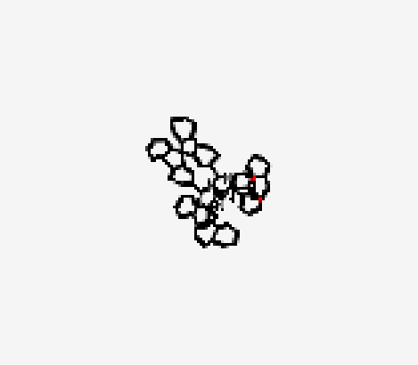 c1ccc2c(c1)-c1ccc(-c3nc(-c4cccc5ccccc45)nc(-c4cccc5ccccc45)n3)cc1C21c2ccccc2-c2ccc(-c3nc(-c4cccc5ccccc45)nc(-c4cccc5ccccc45)n3)cc21